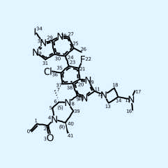 C=CC(=O)N1C[C@H](C)N(c2nc(N3CC(N(C)C)C3)nc3c(F)c(-c4c(C)cnc5c4cnn5I)c(Cl)cc23)C[C@H]1C